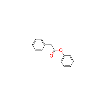 O=C(Cc1ccccc1)Oc1ccccc1